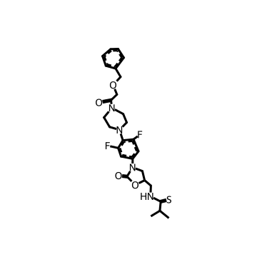 CC(C)C(=S)NCC1CN(c2cc(F)c(N3CCN(C(=O)COCc4ccccc4)CC3)c(F)c2)C(=O)O1